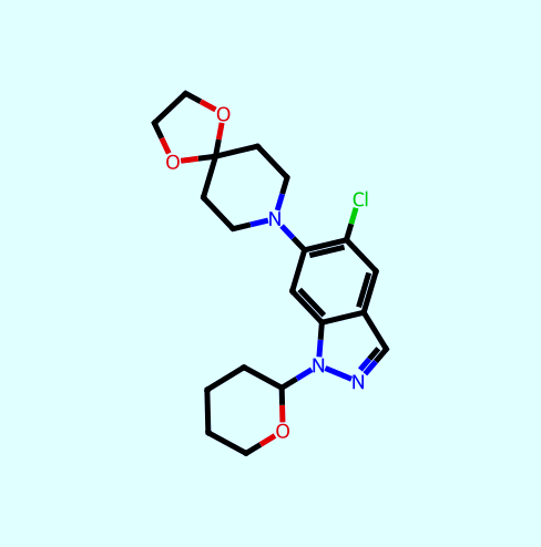 Clc1cc2cnn(C3CCCCO3)c2cc1N1CCC2(CC1)OCCO2